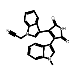 Cn1cc(C2=C(c3cn(CC#N)c4ccccc34)C(=O)NC2=O)c2ccccc21